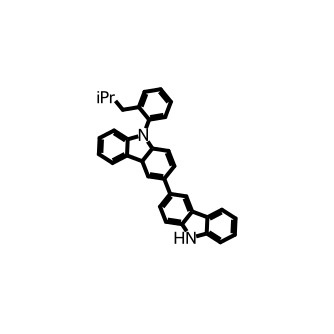 CC(C)Cc1ccccc1N1c2ccccc2C2C=C(c3ccc4[nH]c5ccccc5c4c3)C=CC21